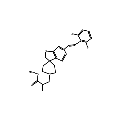 CC(CN1CCC2(CC1)COc1cc(C=Cc3c(Cl)cccc3Cl)ccc12)C(=O)OC(C)(C)C